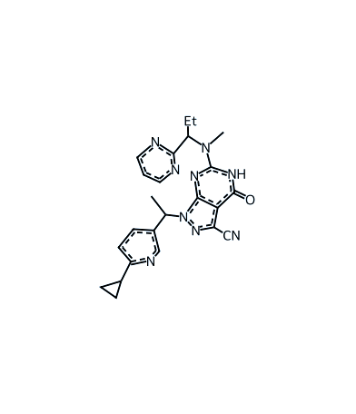 CCC(c1ncccn1)N(C)c1nc2c(c(C#N)nn2C(C)c2ccc(C3CC3)nc2)c(=O)[nH]1